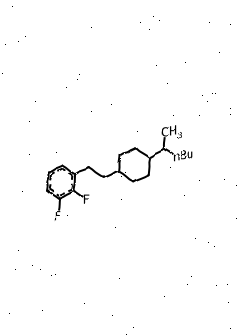 CCCCC(C)C1CCC(CCc2cccc(F)c2F)CC1